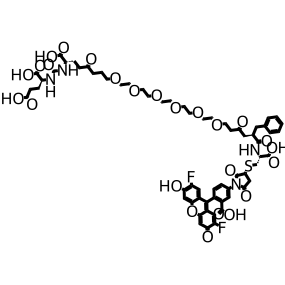 O=C(O)CC[C@H](NC(=O)N[C@@H](CCC(=O)CCCOCCOCCOCCOCCOCCOCCC(=O)C[C@@H](Cc1ccccc1)C(=O)N[C@@H](CSC1CC(=O)N(c2ccc(-c3c4cc(F)c(=O)cc-4oc4cc(O)c(F)cc34)c(C(=O)O)c2)C1=O)C(=O)O)C(=O)O)C(=O)O